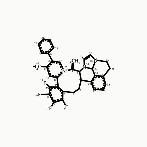 C=C1C2C(CCc3c(F)c(F)c(F)c(F)c3-c3cc(C)c(-c4ccccc4)c[n+]31)c1cccc3c1C1N(C=CN21)CC3